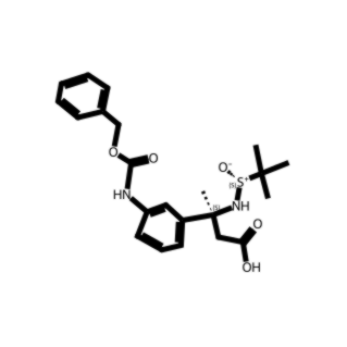 CC(C)(C)[S@@+]([O-])N[C@@](C)(CC(=O)O)c1cccc(NC(=O)OCc2ccccc2)c1